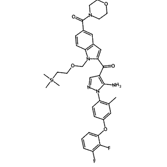 Cc1cc(Oc2cccc(F)c2F)ccc1-n1ncc(C(=O)c2cc3cc(C(=O)N4CCOCC4)ccc3n2COCC[Si](C)(C)C)c1N